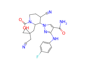 N#CCC1(CC2C(n3cc(C(N)=O)c(Nc4ccc(F)cc4)n3)C(C#N)CCN2C(=O)O)CC1